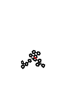 c1ccc(-c2ccccc2-c2ccccc2-c2ccccc2N(c2ccc(-c3ccc4c(c3)C3(CCCC3)c3ccccc3-4)cc2)c2ccc(-c3cccc4c3c3ccccc3n4-c3ccccc3)cc2)cc1